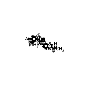 CNC(=O)C1CSc2cc(N(C)C3(C(=O)N(C=S)c4ccc(C#N)c(C(F)(F)F)c4)CCC3)ccc2O1